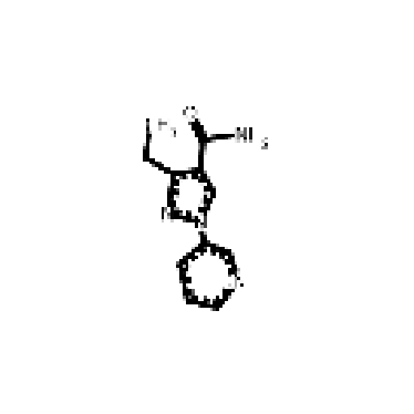 CCc1nn(-c2cccnc2)cc1C(N)=O